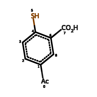 CC(=O)c1ccc(S)c(C(=O)O)c1